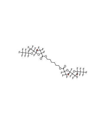 O=C(OCCCCCCOC(=O)C(F)(OC(F)(F)C(F)(OC(F)(F)C(F)(F)C(F)(F)F)C(F)(F)F)C(F)(F)F)C(F)(OC(F)(F)C(F)(OC(F)(F)C(F)(F)C(F)(F)F)C(F)(F)F)C(F)(F)F